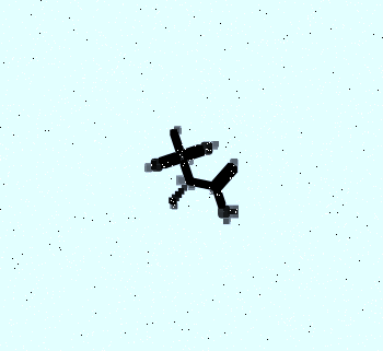 C=C(O)[C@H](C)S(C)(=O)=O